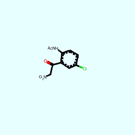 CC(=O)Nc1ccc(Cl)cc1C(=O)C[N+](=O)[O-]